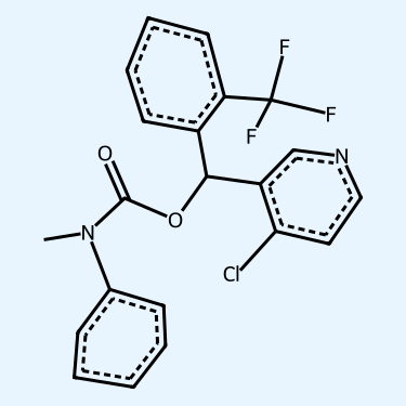 CN(C(=O)OC(c1cnccc1Cl)c1ccccc1C(F)(F)F)c1ccccc1